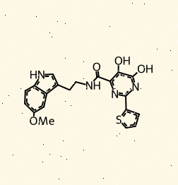 COc1ccc2[nH]cc(CCNC(=O)c3nc(-c4cccs4)nc(O)c3O)c2c1